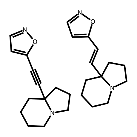 C(#CC12CCCCN1CCC2)c1ccno1.C(=CC12CCCCN1CCC2)c1ccno1